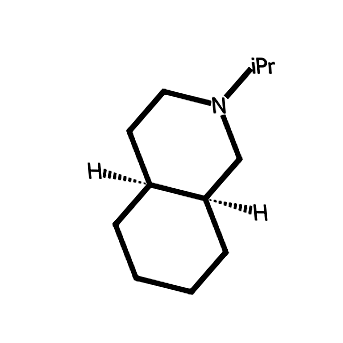 CC(C)N1CC[C@@H]2CCCC[C@@H]2C1